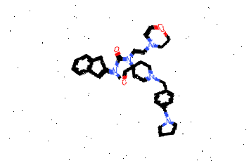 CN(C(=O)N(CCN1CCOCC1)C1(C=O)CCN(Cc2ccc(N3CCCC3)cc2)CC1)C1Cc2ccccc2C1